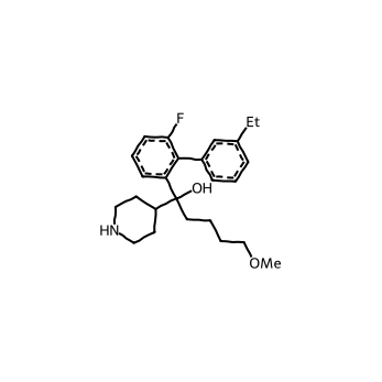 CCc1cccc(-c2c(F)cccc2C(O)(CCCCOC)C2CCNCC2)c1